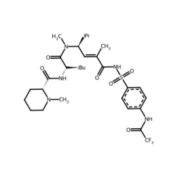 CC[C@H](C)[C@H](NC(=O)[C@H]1CCCCN1C)C(=O)N(C)[C@H](/C=C(\C)C(=O)NS(=O)(=O)c1ccc(NC(=O)C(F)(F)F)cc1)C(C)C